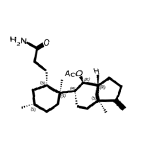 C=C1CC[C@H]2[C@H](OC(C)=O)[C@@H]([C@@]3(C)CC[C@H](C)C[C@@H]3CCC(N)=O)CC[C@]12C